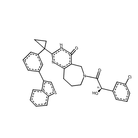 O=C([C@H](O)c1cccc(Cl)c1)N1CCCc2nc(C3(c4cccc(-c5csc6ccccc56)c4)CC3)[nH]c(=O)c2C1